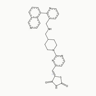 O=C1NC(=O)/C(=C/c2ccnc(N3CCC(CNCc4cccnc4-c4cccc5cnccc45)CC3)n2)S1